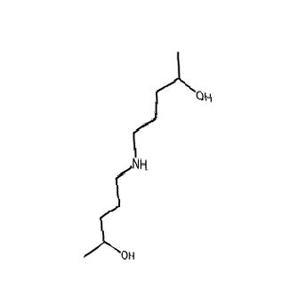 CC(O)CCCNCCCC(C)O